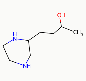 CC(O)CCC1CNCCN1